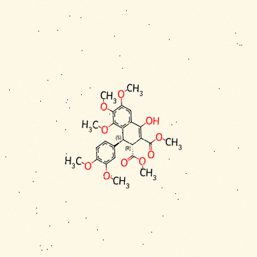 COC(=O)C1=C(O)c2cc(OC)c(OC)c(OC)c2[C@H](c2ccc(OC)c(OC)c2)[C@H]1C(=O)OC